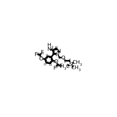 C[Si](C)(C)CCOCn1ncc(N)c1-c1cc(OC(F)F)ccc1OC(F)F